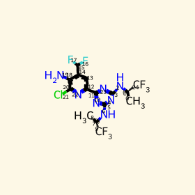 C[C@@H](Nc1nc(N[C@H](C)C(F)(F)F)nc(-c2cc(C(F)F)c(N)c(Cl)n2)n1)C(F)(F)F